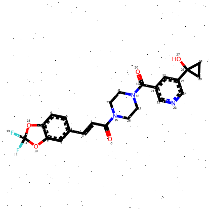 O=C(/C=C/c1ccc2c(c1)OC(F)(F)O2)N1CCN(C(=O)c2cncc(C3(O)CC3)c2)CC1